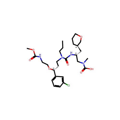 CCCN(CC[C@@H](OCCNC(=O)OC)c1cccc(Cl)c1)C(=O)N[C@H](C[C@H]1CCCOC1)CN(C)C(=O)O